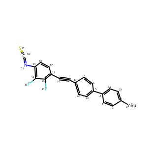 CCCCc1ccc(-c2ccc(C#Cc3ccc(N=C=S)c(F)c3F)cc2)cc1